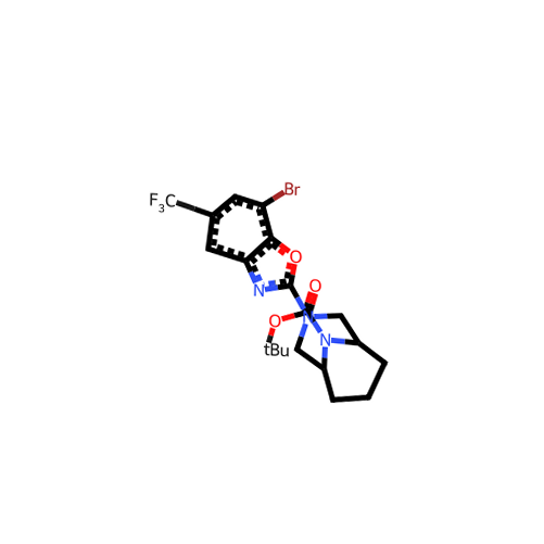 CC(C)(C)OC(=O)N1C2CCCC1CN(c1nc3cc(C(F)(F)F)cc(Br)c3o1)C2